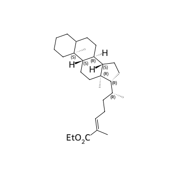 CCOC(=O)C(C)=CCC[C@@H](C)[C@H]1CC[C@H]2[C@@H]3CCC4CCCC[C@]4(C)[C@H]3CC[C@]12C